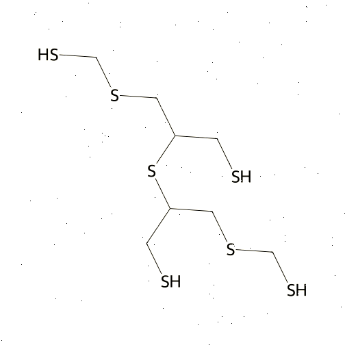 SCSCC(CS)SC(CS)CSCS